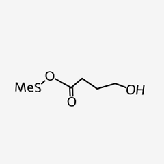 CSOC(=O)CCCO